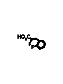 O=C(O)/C(F)=C/c1ccccc1F